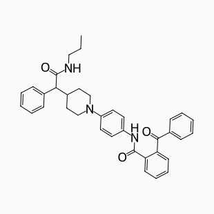 CCCNC(=O)C(c1ccccc1)C1CCN(c2ccc(NC(=O)c3ccccc3C(=O)c3ccccc3)cc2)CC1